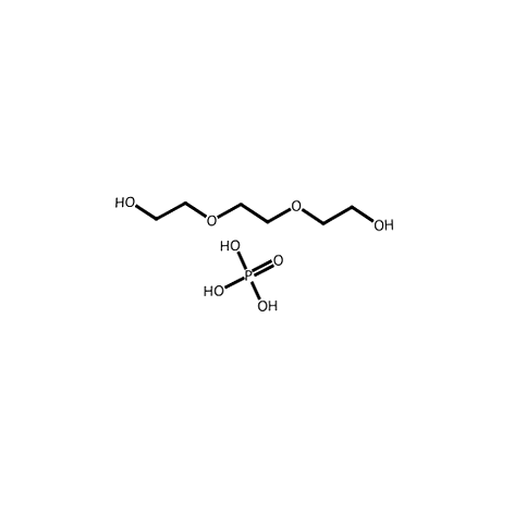 O=P(O)(O)O.OCCOCCOCCO